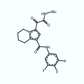 CC(C)(C)NC(=O)C(=O)c1cc(C(=O)Nc2cc(F)c(F)c(F)c2)c2n1CCCC2